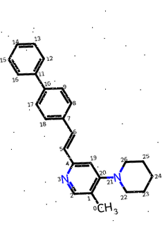 Cc1cnc(C=Cc2ccc(-c3ccccc3)cc2)cc1N1CCCCC1